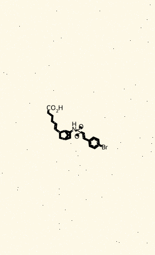 O=C(O)CCCC=CC1CC2CC(NS(=O)(=O)C=Cc3ccc(Br)cc3)C1C2